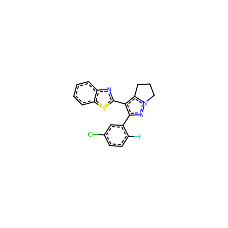 Fc1ccc(Cl)cc1-c1nn2c(c1-c1nc3ccccc3s1)CCC2